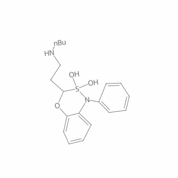 CCCCNCCC1Oc2ccccc2N(c2ccccc2)S1(O)O